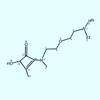 CCCN(CC)CCOCCN(C)C1=C(C)C(O)C1=O